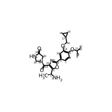 C[C@H](N)c1oc(-c2ccc(OC(F)F)c(OCC3CC3)c2)nc1C(=O)N1CNC(=O)C1